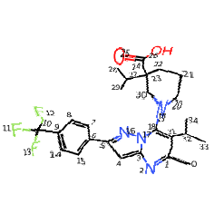 Cc1nc2cc(-c3ccc(C(F)(F)F)cc3)nn2c(N2CCCC(C(=O)O)(C(C)C)C2)c1C(C)C